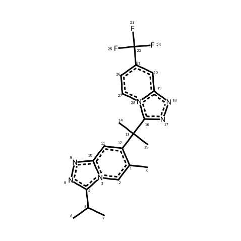 Cc1cn2c(C(C)C)nnc2cc1C(C)(C)c1nnc2cc(C(F)(F)F)ccn12